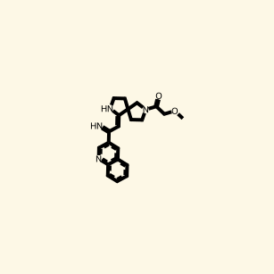 COCC(=O)N1CCC2(CCN/C2=C\C(=N)c2cnc3ccccc3c2)C1